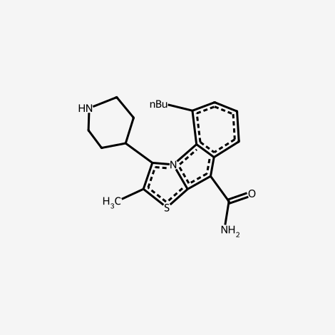 CCCCc1cccc2c(C(N)=O)c3sc(C)c(C4CCNCC4)n3c12